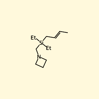 CC=CC[Si](CC)(CC)CN1CCC1